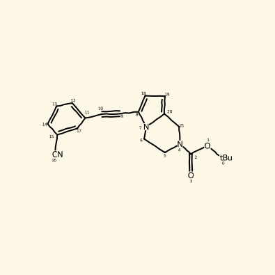 CC(C)(C)OC(=O)N1CCn2c(C#Cc3cccc(C#N)c3)ccc2C1